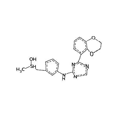 C[SH](O)Cc1cccc(Nc2ncnc(-c3cccc4c3OCCO4)n2)c1